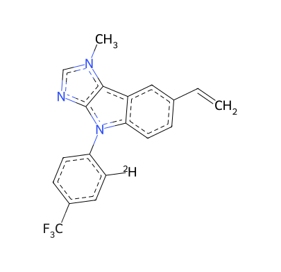 [2H]c1cc(C(F)(F)F)ccc1-n1c2ccc(C=C)cc2c2c1ncn2C